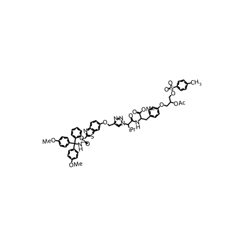 COC(=O)C(Cc1ccc(OCC(COS(=O)(=O)c2ccc(C)cc2)OC(C)=O)cc1)NC(=O)C(C(C)C)n1cc(COc2ccc3nc(S(=O)(=O)NC(c4ccccc4)(c4ccc(OC)cc4)c4ccc(OC)cc4)sc3c2)nn1